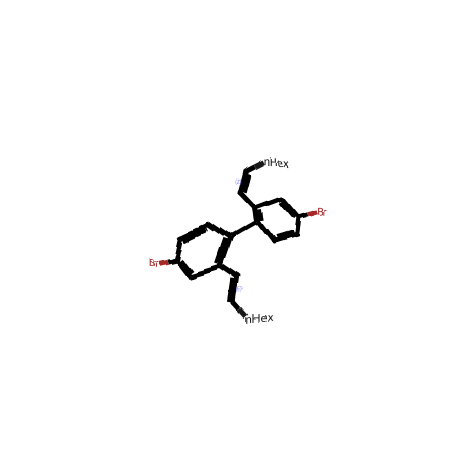 CCCCCC/C=C\c1cc(Br)ccc1-c1ccc(Br)cc1/C=C/CCCCCC